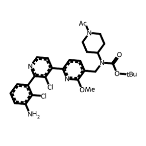 COc1nc(-c2ccnc(-c3cccc(N)c3Cl)c2Cl)ccc1CN(C(=O)OC(C)(C)C)C1CCN(C(C)=O)CC1